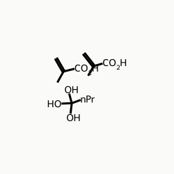 C=C(C)C(=O)O.C=C(C)C(=O)O.CCCC(O)(O)O